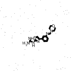 N=C(N)Nc1nc(-c2cccc(N=CN3CCOCC3)c2)cs1